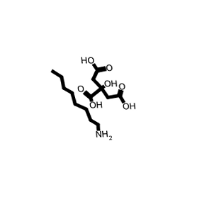 CCCCCCCCN.O=C(O)CC(O)(CC(=O)O)C(=O)O